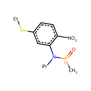 CCSc1ccc([N+](=O)[O-])c(N(C(C)C)[PH](C)=O)c1